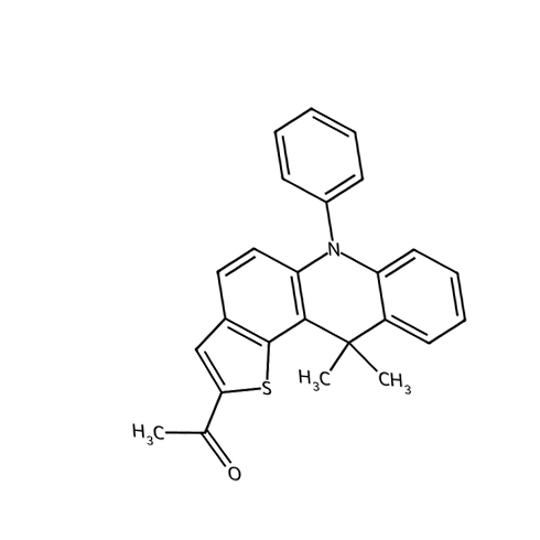 CC(=O)c1cc2ccc3c(c2s1)C(C)(C)c1ccccc1N3c1ccccc1